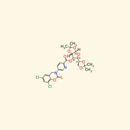 CC1(C)O[C@@H]2O[C@@H]([C@@H]3COC(C)(C)O3)[C@@H](OC(=O)c3ccc(N4Cc5cc(Cl)cc(Cl)c5OC4=S)cn3)[C@@H]2O1